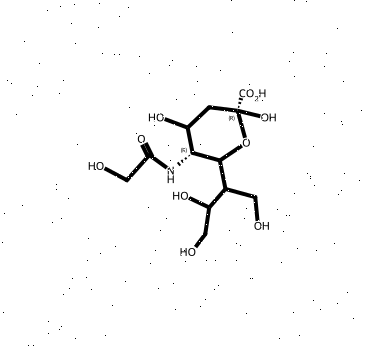 O=C(CO)N[C@@H]1C(O)C[C@](O)(C(=O)O)OC1C(CO)C(O)CO